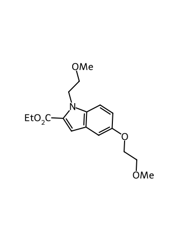 CCOC(=O)c1cc2cc(OCCOC)ccc2n1CCOC